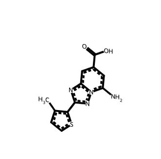 Cc1ccsc1-c1nc2cc(C(=O)O)cc(N)n2n1